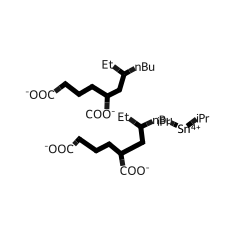 CCCCC(CC)CC(CCCC(=O)[O-])C(=O)[O-].CCCCC(CC)CC(CCCC(=O)[O-])C(=O)[O-].C[CH](C)[Sn+4][CH](C)C